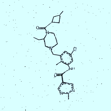 Cc1ncc(C(=O)Nc2cc(Cl)cc(CN3CCN(C(=O)C4CC(C)C4)C(C)C3)c2C)cn1